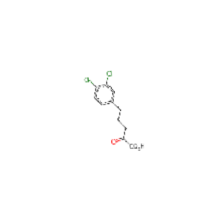 O=C(O)C(=O)CCCc1ccc(Cl)c(Cl)c1